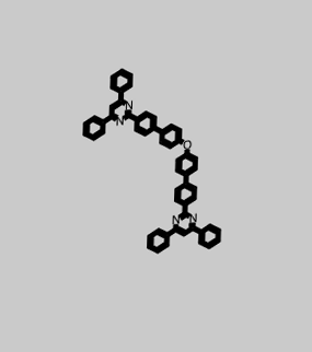 c1ccc(-c2cc(-c3ccccc3)nc(-c3ccc(-c4ccc(Oc5ccc(-c6ccc(-c7nc(-c8ccccc8)cc(-c8ccccc8)n7)cc6)cc5)cc4)cc3)n2)cc1